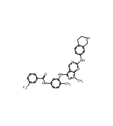 Cc1ccc(NC(=O)c2cccc(C(F)(F)F)c2)cc1Nc1nn(C)c2nc(Nc3ccc4c(c3)CNCC4)ncc12